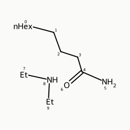 CCCCCCCCCC(N)=O.CCNCC